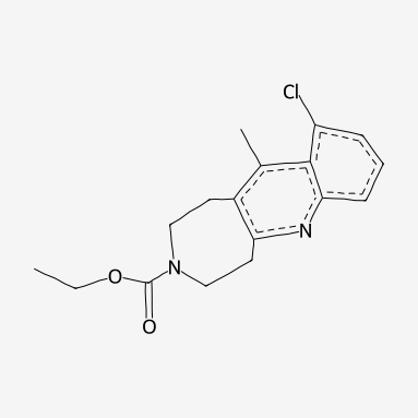 CCOC(=O)N1CCc2nc3cccc(Cl)c3c(C)c2CC1